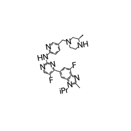 Cc1nc2c(F)cc(-c3nc(Nc4ccc(CN5CCN[C@H](C)C5)cn4)ncc3F)cc2n1C(C)C